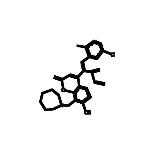 C=CC(=C)/C(=C\c1cc(Cl)ccc1C)C1=CC(=C)Oc2c1ccc(C#N)c2CN1CCCCCC1